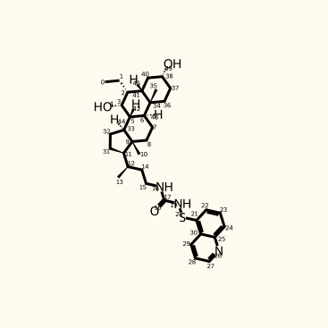 CC[C@H]1[C@@H](O)[C@@H]2[C@H](CC[C@]3(C)[C@@H]([C@H](C)CCNC(=O)NSc4cccc5ncccc45)CC[C@@H]23)[C@@]2(C)CC[C@@H](O)C[C@@H]12